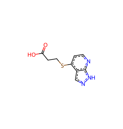 O=C(O)CCSc1ccnc2[nH]ncc12